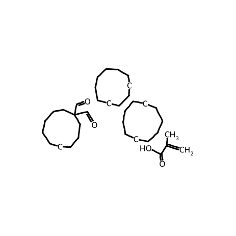 C1CCCCCCCCC1.C1CCCCCCCCC1.C=C(C)C(=O)O.O=CC1(C=O)CCCCCCCCC1